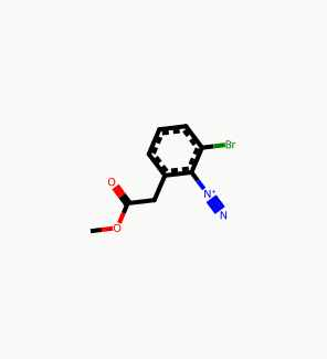 COC(=O)Cc1cccc(Br)c1[N+]#N